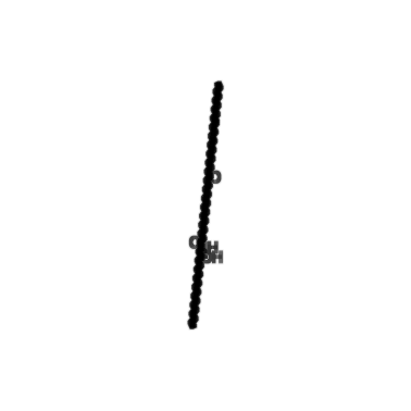 CCCCCCCCC=CCCCCCCCCCCCC(=O)CCCCCCCCCCCCCCC(=O)NC[C@@H](O)CCCCCCCCCCCCCCCC